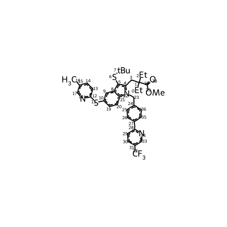 CCC(CC)(Cc1c(SC(C)(C)C)c2cc(Sc3ccc(C)cn3)ccc2n1Cc1ccc(-c2ccc(C(F)(F)F)cn2)cc1)C(=O)OC